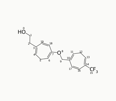 OCCC1=CCC=C(OCC2=CCC=C(C(F)(F)F)C=C2)C=C1